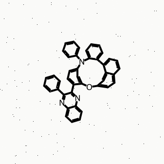 c1ccc(-c2nc3ccccc3nc2-c2ccc3cc2oc2ccc4cccc(c4c2)c2ccccc2n3-c2ccccc2)cc1